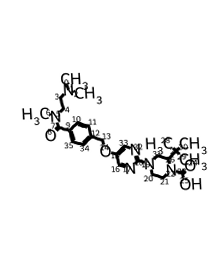 CN(C)CCN(C)C(=O)c1ccc(COc2cnc(N3CCN(C(=O)O)C(C(C)(C)C)C3)nc2)cc1